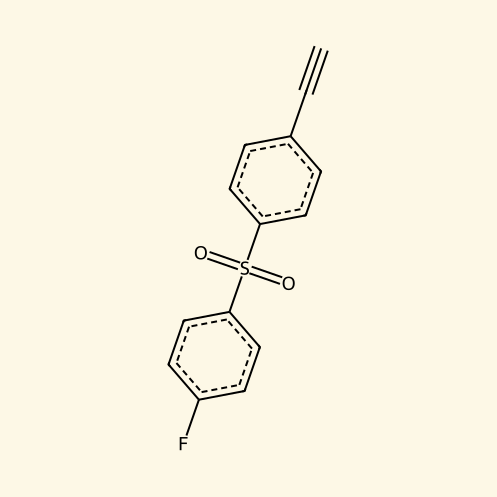 C#Cc1ccc(S(=O)(=O)c2ccc(F)cc2)cc1